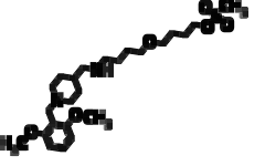 COc1cccc(OC)c1CN1CCC(CNCCCCOCCCCOS(C)(=O)=O)CC1